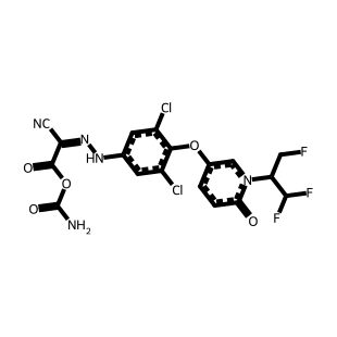 N#CC(=NNc1cc(Cl)c(Oc2ccc(=O)n(C(CF)C(F)F)c2)c(Cl)c1)C(=O)OC(N)=O